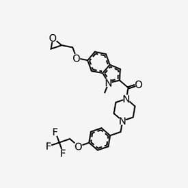 Cn1c(C(=O)N2CCN(Cc3ccc(OCC(F)(F)F)cc3)CC2)cc2ccc(OCC3CO3)cc21